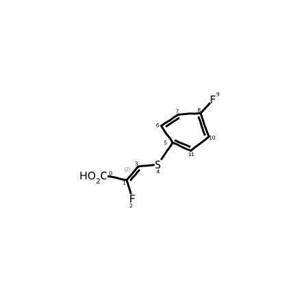 O=C(O)/C(F)=C/Sc1ccc(F)cc1